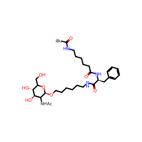 CCC(C)C(=O)NCCCCCC(=O)N[C@@H](Cc1ccccc1)C(=O)NCCCCCCO[C@@H]1OC(CO)[C@@H](O)[C@H](O)C1NC(C)=O